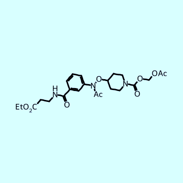 CCOC(=O)CCNC(=O)c1cccc(N(OC2CCN(C(=O)OCOC(C)=O)CC2)C(C)=O)c1